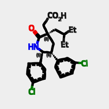 CCC(CC)C[C@]1(CC(=O)O)C[C@H](c2cccc(Cl)c2)[C@@H](c2ccc(Cl)cc2)NC1=O